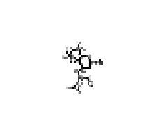 CC1(C)CC(C)(C)c2cc(Br)cc(CN(C=O)C3CC3)c2O1